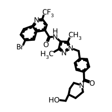 Cc1nn(Cc2ccc(C(=O)N3CCC(CO)CC3)cc2)c(C)c1NC(=O)c1cc(C(F)(F)F)nc2ccc(Br)cc12